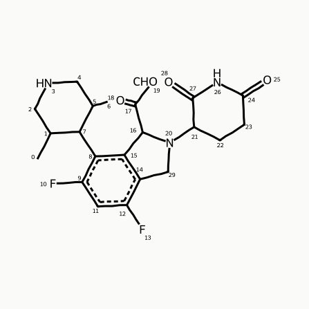 CC1CNCC(C)C1c1c(F)cc(F)c2c1C(C(=O)C=O)N(C1CCC(=O)NC1=O)C2